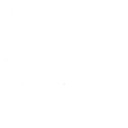 Nc1ncnn2c(C3CCC(O)CC3)cc(-c3ccc(NC(=O)c4cccn(-c5ccc(F)cc5)c4=O)cc3)c12